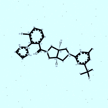 Cc1cc(C(C)(C)F)nc(N2C[C@H]3CN(C(=O)c4cccc(F)c4-n4nccn4)C[C@H]3C2)n1